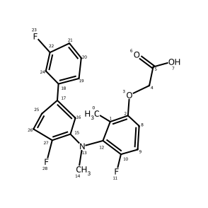 Cc1c(OCC(=O)O)ccc(F)c1N(C)c1cc(-c2cccc(F)c2)ccc1F